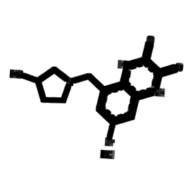 Cl.O=c1[nH]c2cc(Br)cc(CN3CCC(O)C3)c2[nH]c1=O